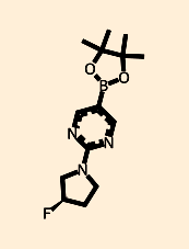 CC1(C)OB(c2cnc(N3CC[C@@H](F)C3)nc2)OC1(C)C